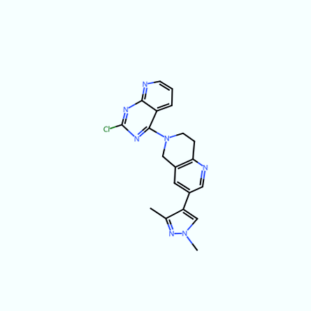 Cc1nn(C)cc1-c1cnc2c(c1)CN(c1nc(Cl)nc3ncccc13)CC2